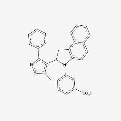 Cc1onc(-c2ccccc2)c1C1Cc2c(ccc3ccccc23)N1c1cccc(C(=O)O)c1